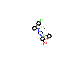 CC(c1ccccc1-c1ccc(Cl)cc1)N1CCN(c2ccc(C(=O)O)c(Oc3ccccc3Cl)c2)CC1